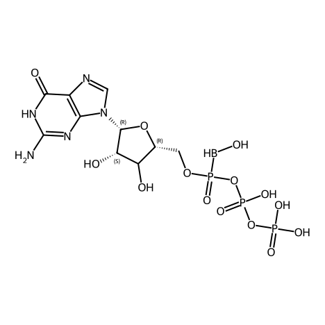 Nc1nc2c(ncn2[C@@H]2O[C@H](COP(=O)(BO)OP(=O)(O)OP(=O)(O)O)C(O)[C@@H]2O)c(=O)[nH]1